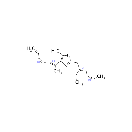 C=C/C=C\C=C(/C)c1nc(C/C(C=C)=C/C=C\C)oc1C